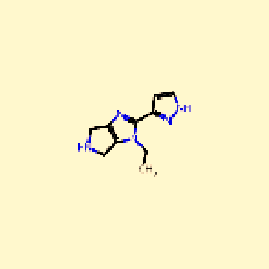 CCn1c(-c2cc[nH]n2)nc2c1CNC2